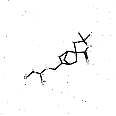 CC1(C)CC2(CC3CC2CC3COC(O)CCl)C(=O)O1